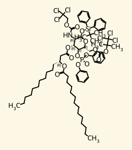 CCCCCCCCCCCCCC(=O)O[C@H](CCCCCCCCCCC)CC(=O)O[C@@H]1[C@@H](NC(=O)OCC(Cl)(Cl)Cl)[C@@H](O[Si](c2ccccc2)(c2ccccc2)C(C)(C)C)O[C@H](COC(=O)OC(C)(C)C(Cl)(Cl)Cl)[C@H]1OP(=O)(Oc1ccccc1)Oc1ccccc1